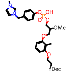 CCCCCCCCCCCCOc1cccc(OCC(COP(=O)(O)Oc2ccc(CN3C=CN(C)C3)cc2)OC)c1C